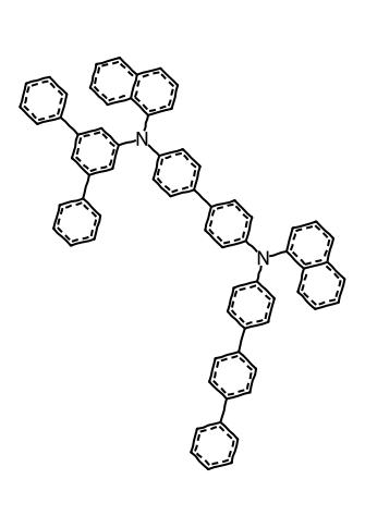 c1ccc(-c2ccc(-c3ccc(N(c4ccc(-c5ccc(N(c6cc(-c7ccccc7)cc(-c7ccccc7)c6)c6cccc7ccccc67)cc5)cc4)c4cccc5ccccc45)cc3)cc2)cc1